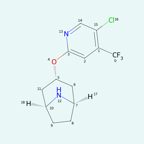 FC(F)(F)c1cc(O[C@@H]2C[C@H]3CC[C@@H](C2)N3)ncc1Cl